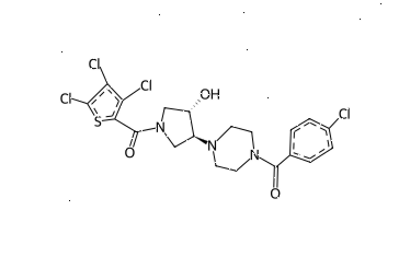 O=C(c1ccc(Cl)cc1)N1CCN([C@H]2CN(C(=O)c3sc(Cl)c(Cl)c3Cl)C[C@@H]2O)CC1